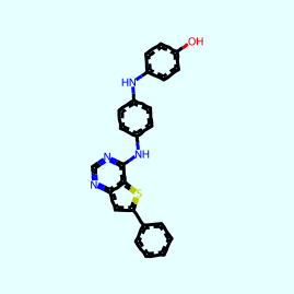 Oc1ccc(Nc2ccc(Nc3ncnc4cc(-c5ccccc5)sc34)cc2)cc1